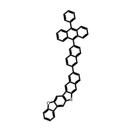 c1ccc(-c2c3ccccc3c(-c3ccc4cc(-c5ccc6cc7sc8cc9c(cc8c7cc6c5)oc5ccccc59)ccc4c3)c3ccccc23)cc1